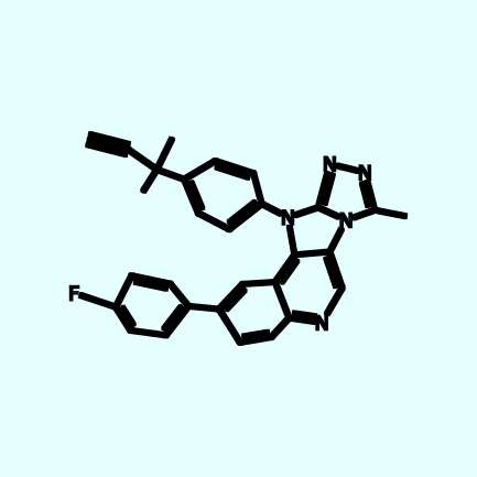 C#CC(C)(C)c1ccc(-n2c3c4cc(-c5ccc(F)cc5)ccc4ncc3n3c(C)nnc23)cc1